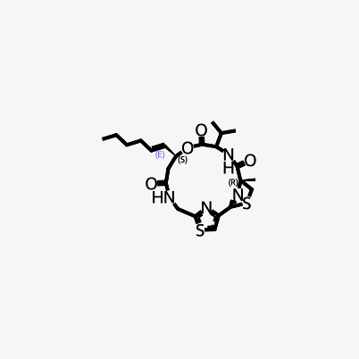 CCCC/C=C/[C@@H]1CC(=O)NCc2nc(cs2)C2=N[C@@](C)(CS2)C(=O)NC(C(C)C)C(=O)O1